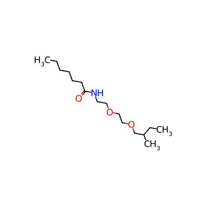 CCCCCCC(=O)NCCOCCOCC(C)CC